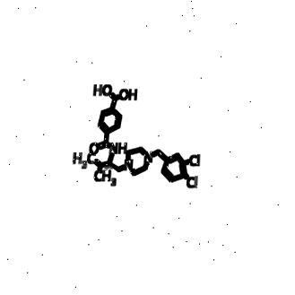 CC(C)[C@H](CN1CCN(Cc2ccc(Cl)c(Cl)c2)CC1)NC(=O)c1ccc(C(O)O)cc1